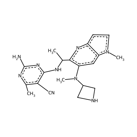 Cc1nc(N)nc(NC(C)c2nc3ccn(C)c3cc2N(C)C2CNC2)c1C#N